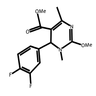 COC(=O)C1=C(C)N=C(OC)N(C)C1c1ccc(F)c(F)c1